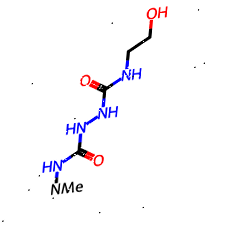 CNNC(=O)NNC(=O)NCCO